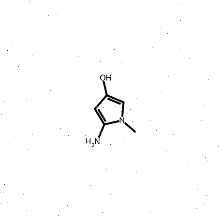 Cn1cc(O)cc1N